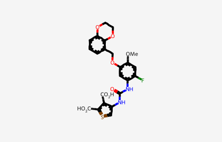 COc1cc(F)c(NC(=O)Nc2csc(C(=O)O)c2C(=O)O)cc1OCc1cccc2c1OCCO2